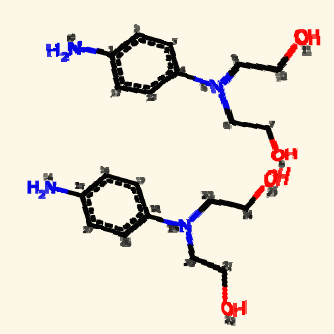 Nc1ccc(N(CCO)CCO)cc1.Nc1ccc(N(CCO)CCO)cc1